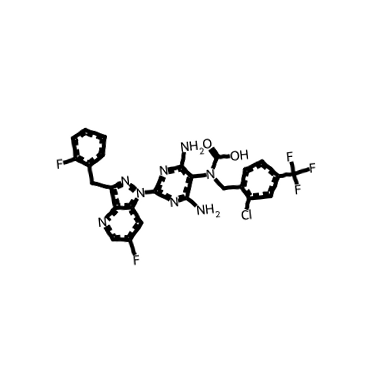 Nc1nc(-n2nc(Cc3ccccc3F)c3ncc(F)cc32)nc(N)c1N(Cc1ccc(C(F)(F)F)cc1Cl)C(=O)O